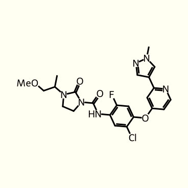 COCC(C)N1CCN(C(=O)Nc2cc(Cl)c(Oc3ccnc(-c4cnn(C)c4)c3)cc2F)C1=O